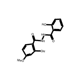 COc1ccc(C(=O)NNC(=O)c2ccccc2O)c(O)c1